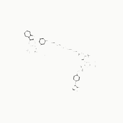 Cc1ncsc1-c1ccc(CNC(=O)[C@@H]2C[C@@H](O)CN2C(=O)[C@@H](NC(=O)CCCCCNCCCCOc2cc(F)c([C@@H]3c4[nH]c5ccccc5c4C[C@@H](C)N3CC(C)(C)F)c(F)c2)C(C)(C)C)cc1